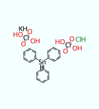 Cl.[KH].[O]=[Cr](=[O])([OH])[OH].[O]=[Cr](=[O])([OH])[OH].c1cc[c]([SnH]([c]2ccccc2)[c]2ccccc2)cc1